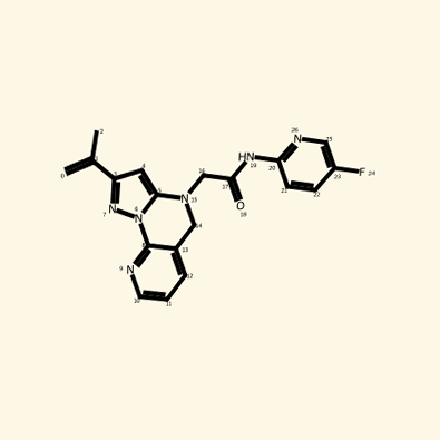 C=C(C)c1cc2n(n1)-c1ncccc1CN2CC(=O)Nc1ccc(F)cn1